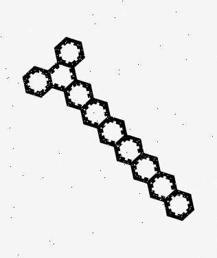 c1ccc2cc3cc4cc5cc6cc7cc8c9ccccc9c9ccccc9c8cc7cc6cc5cc4cc3cc2c1